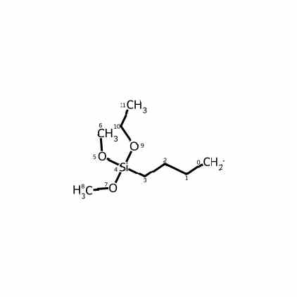 [CH2]CCC[Si](OC)(OC)OCC